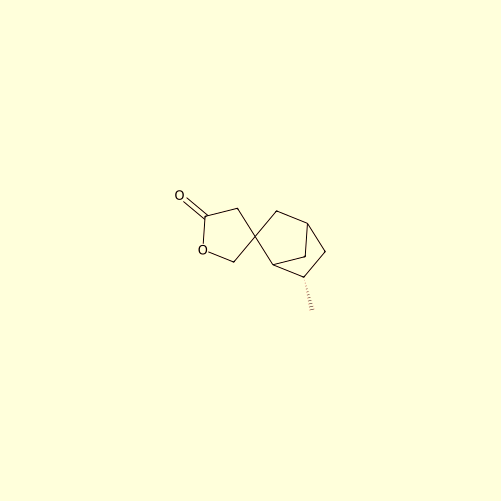 C[C@H]1CC2CC1C1(COC(=O)C1)C2